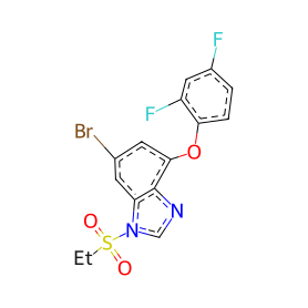 CCS(=O)(=O)n1cnc2c(Oc3ccc(F)cc3F)cc(Br)cc21